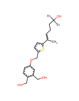 CCC(O)(CC)CC/C=C(\C)c1ccc(COc2ccc(CO)c(CO)c2)s1